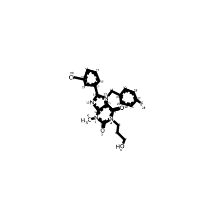 Cn1c(=O)n(CCCO)c(=O)c2c1nc(-c1cccc(Cl)c1)n2Cc1ccc(F)cc1